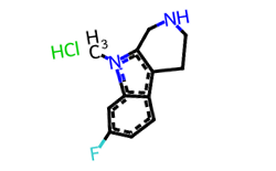 Cl.Cn1c2c(c3ccc(F)cc31)CCNC2